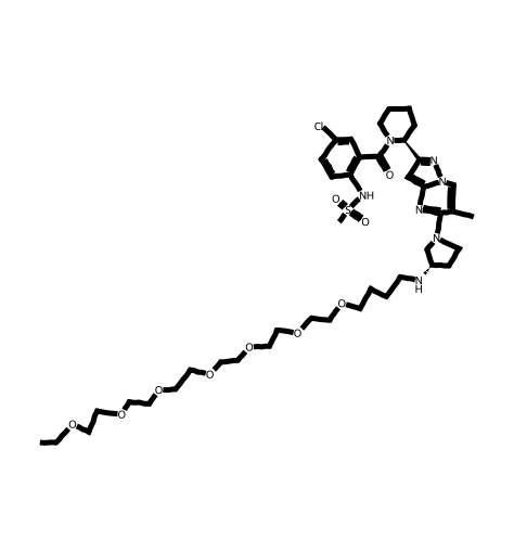 CCOCCOCCOCCOCCOCCOCCOCCCCN[C@H]1CCN(c2nc3cc([C@@H]4CCCCN4C(=O)c4cc(Cl)ccc4NS(C)(=O)=O)nn3cc2C)C1